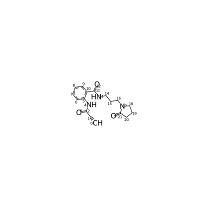 C#CC(=O)Nc1ccccc1C(=O)NCCCN1CCCC1=O